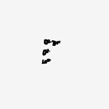 [La+3].[O-2].[O-2].[Ti+4]